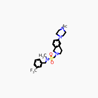 CC(=O)N1CCN(c2ccc3c(c2)CCN(CS(=O)(=O)N(C)Cc2cccc(C(F)(F)F)c2)C3)CC1